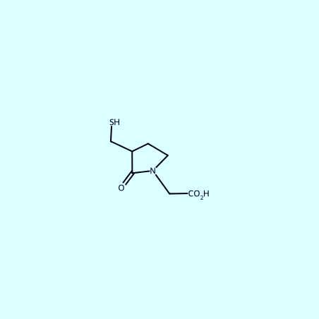 O=C(O)CN1CCC(CS)C1=O